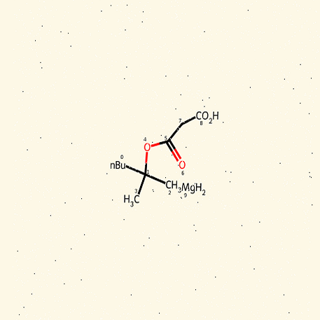 CCCCC(C)(C)OC(=O)CC(=O)O.[MgH2]